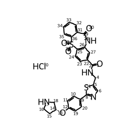 Cl.O=C(NCc1cnc(-c2ccc(O[C@@H]3CCNC3)cc2)s1)c1ccc2c(c1)NC(=O)c1ccccc1S2(=O)=O